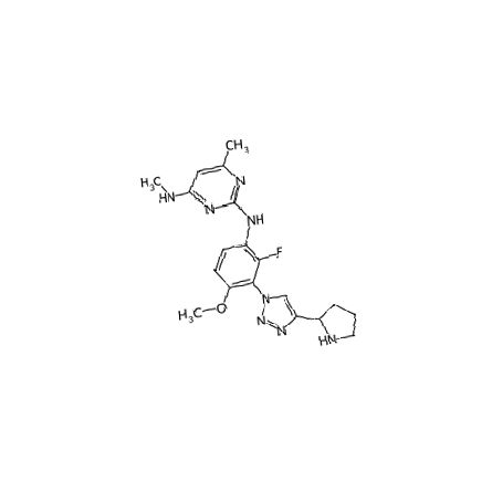 CNc1cc(C)nc(Nc2ccc(OC)c(-n3cc(C4CCCN4)nn3)c2F)n1